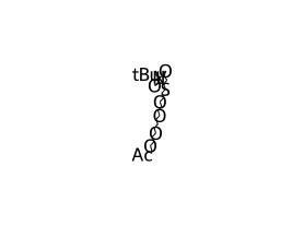 CC(=O)COCCOCCCOCCOCCSC1CC(=O)N(C(C)(C)C)C1=O